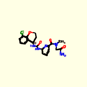 CN(CC(N)=O)C(=O)c1cccc(NC(=O)N[C@H]2CCOc3c(Cl)cccc32)n1